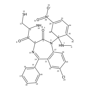 CNC1(N2C(=O)C(C(=O)C(N)CS)N=C(c3ccccc3)c3cc(Cl)ccc32)CC([N+](=O)[O-])=CC=C1C